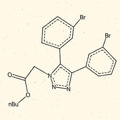 CCCCOC(=O)Cn1nnc(-c2cccc(Br)c2)c1-c1cccc(Br)c1